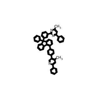 Cc1cc(-c2ccccc2)nc(-c2cccc(C3(c4ccccc4)c4ccccc4-c4c(-c5ccc(-c6cnc(-c7ccccc7)cc6C)cc5)cccc43)c2)n1